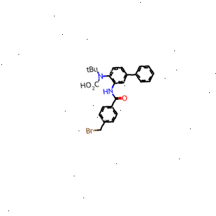 CC(C)(C)N(C(=O)O)c1ccc(-c2ccccc2)cc1NC(=O)c1ccc(CBr)cc1